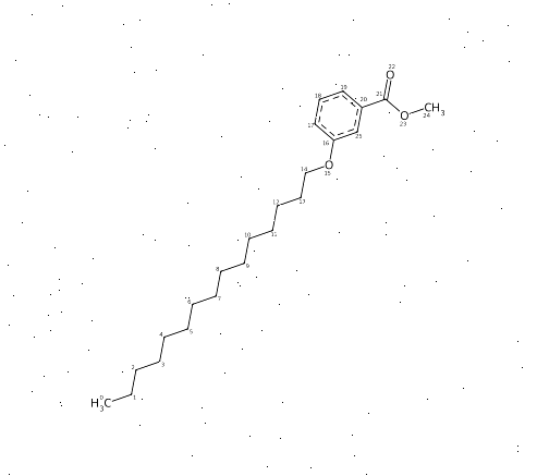 CCCCCCCCCCCCCCCOc1cccc(C(=O)OC)c1